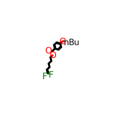 CCCCOc1ccc(C(=O)OCCCCC=C(F)F)cc1